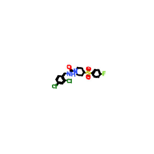 O=C(NCc1ccc(Cl)cc1Cl)N1CCC(S(=O)(=O)c2ccc(F)cc2)CC1